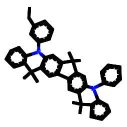 CCc1cccc(N2c3ccccc3C(C)(C)c3cc4c(cc32)C(C)(C)c2cc3c(cc2-4)C(C)(C)c2ccccc2N3c2ccccc2)c1